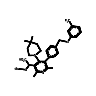 Cc1nc(C)c(C(OC(C)(C)C)C(=O)O)c(N2CCC(C)(C)CC2)c1-c1ccc(COc2cccc(C(F)(F)F)c2)cc1